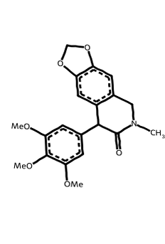 COc1cc(C2C(=O)N(C)Cc3cc4c(cc32)OCO4)cc(OC)c1OC